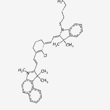 CCCCSN1/C(=C/C=C2\CCCC(/C=C/C3=[N+](C)c4ccc5ccccc5c4C3(C)C)=C2Cl)C(C)(C)c2ccccc21